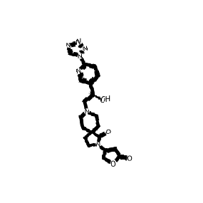 O=C1C=C(N2CCC3(CCN(C[C@H](O)c4ccc(-n5cnnn5)nc4)CC3)C2=O)CO1